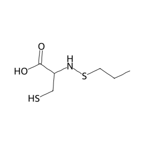 CCCSNC(CS)C(=O)O